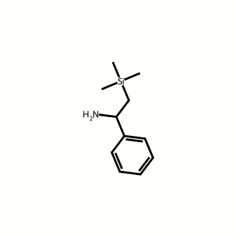 C[Si](C)(C)CC(N)c1ccccc1